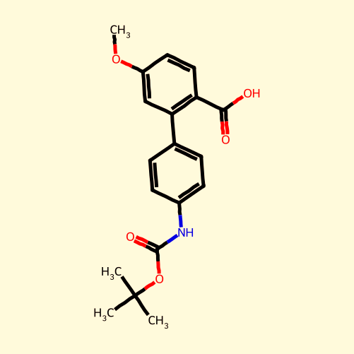 COc1ccc(C(=O)O)c(-c2ccc(NC(=O)OC(C)(C)C)cc2)c1